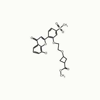 COC(=O)C1CC(OCCOc2cc(S(C)(=O)=O)ccc2-c2cc(=O)c3cccc(Cl)c3o2)C1